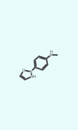 CNc1ccc(N2NC=CO2)cc1